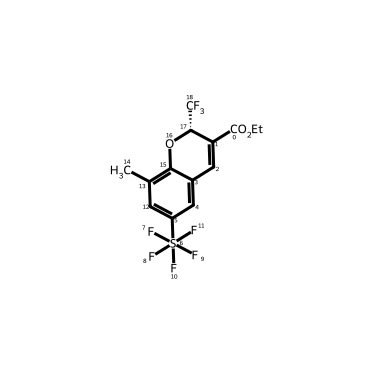 CCOC(=O)C1=Cc2cc(S(F)(F)(F)(F)F)cc(C)c2O[C@@H]1C(F)(F)F